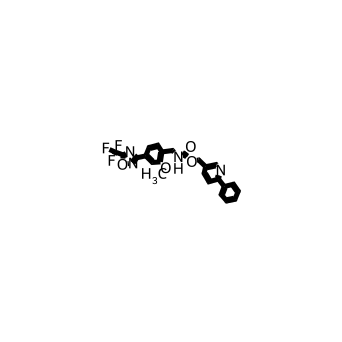 COc1cc(-c2noc(C(F)(F)F)n2)ccc1CNC(=O)OCc1ccc(-c2ccccc2)nc1